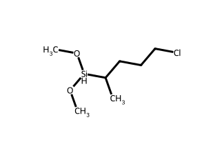 CO[SiH](OC)C(C)CCCCl